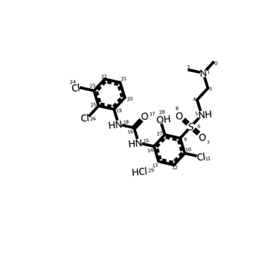 CN(C)CCNS(=O)(=O)c1c(Cl)ccc(NC(=O)Nc2cccc(Cl)c2Cl)c1O.Cl